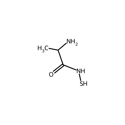 CC(N)C(=O)NS